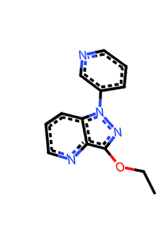 CCOc1nn(-c2cccnc2)c2cccnc12